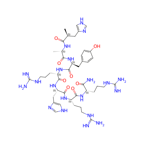 C[C@H](NC(=O)[C@@H](C)Cc1c[nH]cn1)C(=O)N[C@@H](Cc1ccc(O)cc1)C(=O)N[C@@H](CCCNC(=N)N)C(=O)N[C@@H](Cc1c[nH]cn1)C(=O)N[C@@H](CCCNC(=N)N)C(=O)N[C@@H](CCCNC(=N)N)C(N)=O